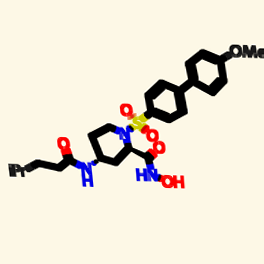 COc1ccc(-c2ccc(S(=O)(=O)N3CC[C@@H](NC(=O)CCC(C)C)C[C@@H]3C(=O)NO)cc2)cc1